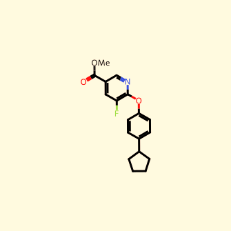 COC(=O)c1cnc(Oc2ccc(C3CCCC3)cc2)c(F)c1